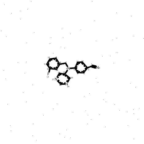 N#Cc1ccc(N(Cc2cccc(F)c2)c2cncnc2)cc1